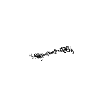 C=C(C)C(=O)Oc1ccc(C#Cc2ccc(C#Cc3ccc(C#Cc4ccc(OC(=O)C(=C)C)cc4)cc3)cc2)cc1